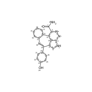 NC(=O)c1nnc2[nH]cc3c2c1-c1ccccc1N=C3c1ccc(O)cc1